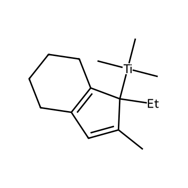 CC[C]1([Ti]([CH3])([CH3])[CH3])C(C)=CC2=C1CCCC2